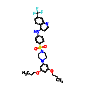 CCCOc1cc(OCCC)cc(N2CCN(S(=O)(=O)c3ccc(Nc4ccnc5cc(C(F)(F)F)ccc45)cc3)CC2)c1